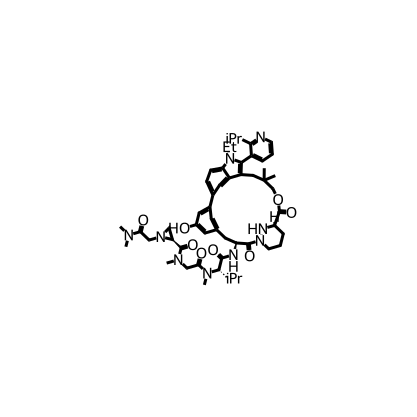 CCn1c(-c2cccnc2C(C)C)c2c3cc(ccc31)-c1cc(O)cc(c1)C[C@H](NC(=O)[C@H](C(C)C)N(C)C(=O)CN(C)C(=O)[C@@H]1CN1CC(=O)N(C)C)C(=O)N1CCC[C@H](N1)C(=O)OCC(C)(C)C2